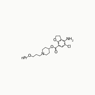 CCCOCCCN1CCC(OC(=O)c2cc(Cl)c(N)c3c2OCC3)CC1